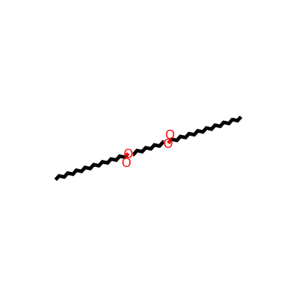 CCCCCCCCCCCCCCCCC(=O)OCCCCCCCCOC(=O)CCCCCCCCCCCCCCCC